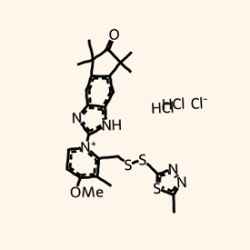 COc1cc[n+](-c2nc3cc4c(cc3[nH]2)C(C)(C)C(=O)C4(C)C)c(CSSc2nnc(C)s2)c1C.Cl.Cl.[Cl-]